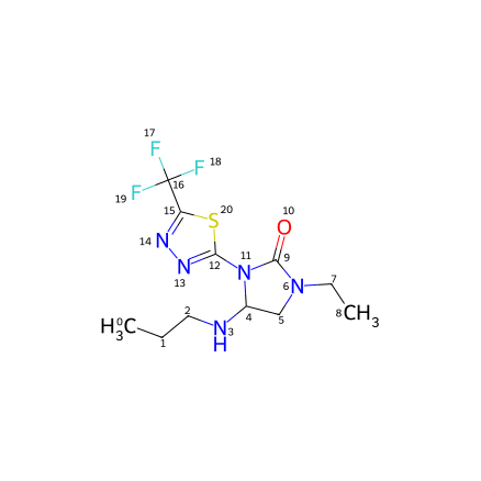 CCCNC1CN(CC)C(=O)N1c1nnc(C(F)(F)F)s1